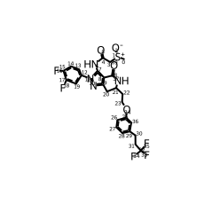 C[S+]([O-])CC(=O)Nc1c2c(nn1-c1ccc(F)c(F)c1)CC(CCOc1cccc(CCC(F)(F)F)c1)NC2=O